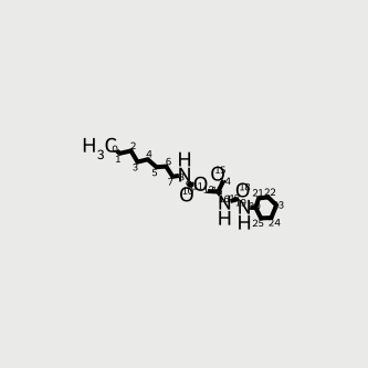 CCCCCCCCNC(=O)OCC(C=O)NC(=O)NC1CCCCC1